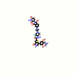 COc1cc(-c2cn(C)c(=O)c3cc(C(=O)NC4CCN(C5CN(c6ccc7c(c6)C(=O)N(C6CCC(=O)NC6=O)C7=O)C5)CC4(F)F)sc23)cc(OC)c1CN(C)C